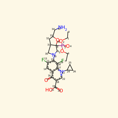 CCOP(=O)(OCC)C12CN(c3c(F)cc4c(=O)c(C(=O)O)cn(C5CC5)c4c3F)CC1CC(CN)O2